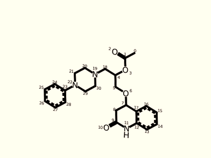 CC(=O)OC(COC1CC(=O)Nc2ccccc21)CN1CCN(c2ccccc2)CC1